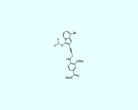 CNC(=O)c1ccc(NCC#Cc2cc3c(Br)cccn3c2SC(F)F)c(OC)c1